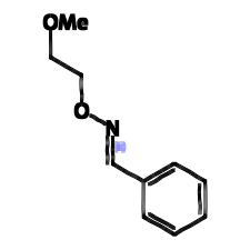 COCCO/N=C/c1ccccc1